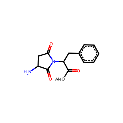 COC(=O)C(Cc1ccccc1)N1C(=O)CC(N)C1=O